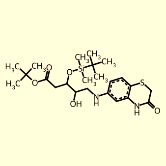 CC(C)(C)OC(=O)CC(O[Si](C)(C)C(C)(C)C)C(O)CNc1ccc2c(c1)NC(=O)CS2